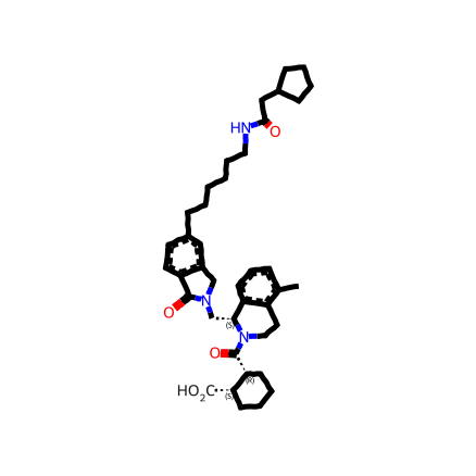 Cc1cccc2c1CCN(C(=O)[C@@H]1CCCC[C@@H]1C(=O)O)[C@@H]2CN1Cc2cc(CCCCCCNC(=O)CC3CCCC3)ccc2C1=O